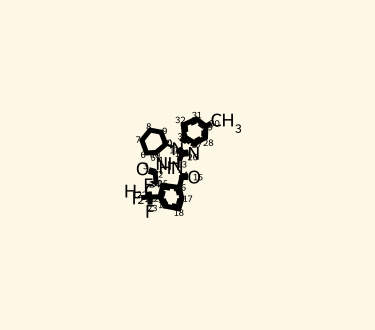 C=CC(=O)N[C@@H]1CCCC[C@H]1n1c(NC(=O)c2cccc(C(F)(F)F)c2)nc2cc(C)ccc21